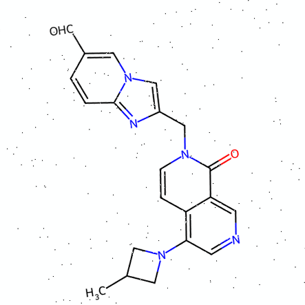 CC1CN(c2cncc3c(=O)n(Cc4cn5cc(C=O)ccc5n4)ccc23)C1